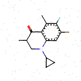 Cc1c(F)c(Br)cc2c1C(=O)C(C(=O)O)CN2C1CC1